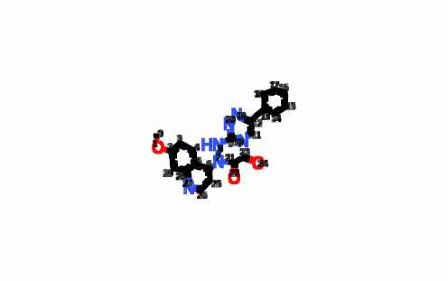 COc1ccc2c(N(Nc3ncc(-c4ccccc4)nn3)C(=O)C=O)ccnc2c1